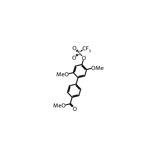 COC(=O)c1ccc(-c2cc(OC)c(OS(=O)(=O)C(F)(F)F)cc2OC)cc1